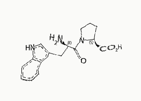 N[C@H](Cc1c[nH]c2ccccc12)C(=O)N1CCC[C@H]1C(=O)O